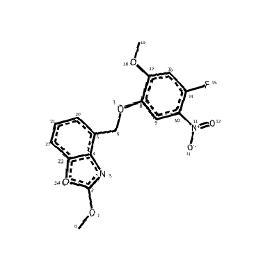 COc1nc2c(COc3cc([N+](=O)[O-])c(F)cc3OC)cccc2o1